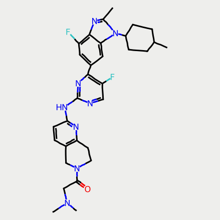 Cc1nc2c(F)cc(-c3nc(Nc4ccc5c(n4)CCN(C(=O)CN(C)C)C5)ncc3F)cc2n1C1CCC(C)CC1